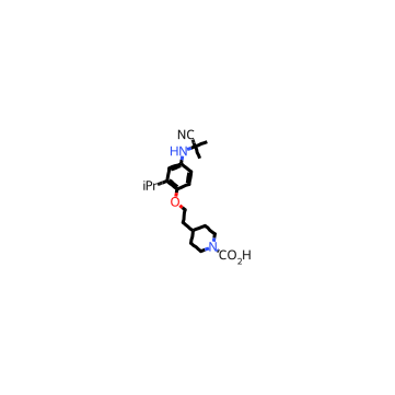 CC(C)c1cc(NC(C)(C)C#N)ccc1OCCC1CCN(C(=O)O)CC1